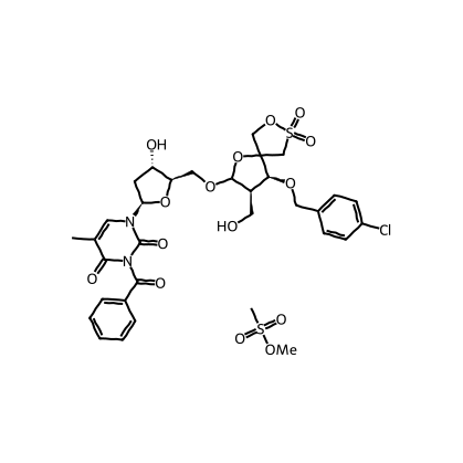 COS(C)(=O)=O.Cc1cn([C@H]2C[C@H](O)[C@@H](COC3OC4(COS(=O)(=O)C4)[C@@H](OCc4ccc(Cl)cc4)[C@H]3CO)O2)c(=O)n(C(=O)c2ccccc2)c1=O